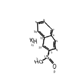 O=S(O)c1ccc2ccccc2c1.[KH]